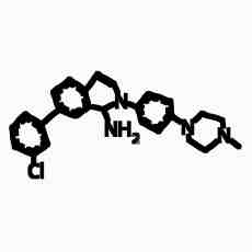 CN1CCN(c2ccc(N3C=Cc4ccc(-c5cccc(Cl)c5)cc4C3N)cc2)CC1